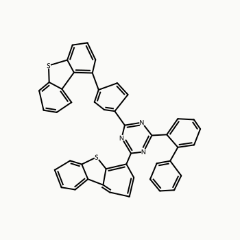 c1ccc(-c2ccccc2-c2nc(-c3ccc(-c4cccc5sc6ccccc6c45)cc3)nc(-c3cccc4c3sc3ccccc34)n2)cc1